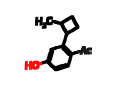 CC(=O)c1ccc(O)cc1C1CCC1C